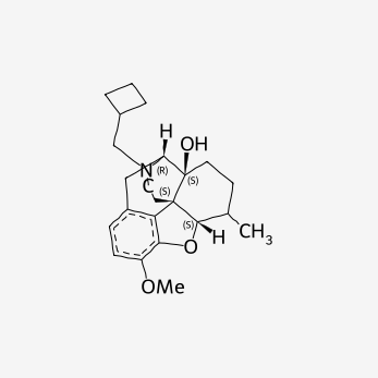 COc1ccc2c3c1O[C@H]1C(C)CC[C@@]4(O)[C@@H](C2)N(CC2CCC2)CC[C@]314